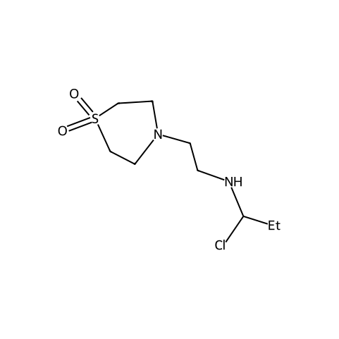 CCC(Cl)NCCN1CCS(=O)(=O)CC1